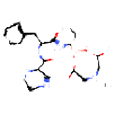 CC(C)C[C@H](NC(=O)C(Cc1ccccc1)NC(=O)c1cnccn1)B1OC(=O)CN(C)CC(=O)O1